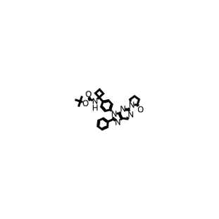 CC(C)(C)OC(=O)NC1(c2ccc(-n3c(-c4ccccc4)nc4cnc(N5CCCC5=O)nc43)cc2)CCC1